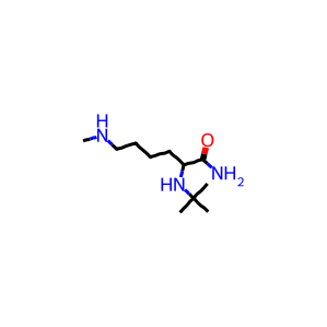 CNCCCCC(NC(C)(C)C)C(N)=O